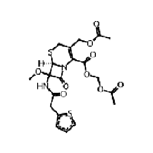 COC1(NC(=O)Cc2cccs2)C(=O)N2C(C(=O)OCOC(C)=O)=C(COC(C)=O)CS[C@@H]21